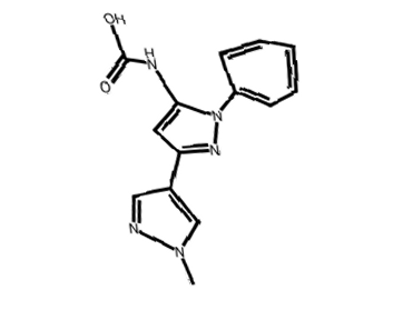 Cn1cc(-c2cc(NC(=O)O)n(-c3ccccc3)n2)cn1